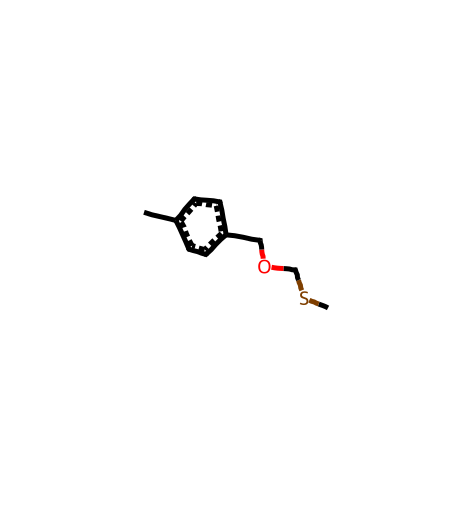 CSCOCc1ccc(C)cc1